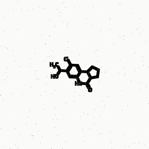 CC(O)c1cc2c(cc1Cl)C1CCCC1C(=O)N2